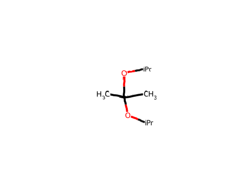 CC(C)OC(C)(C)OC(C)C